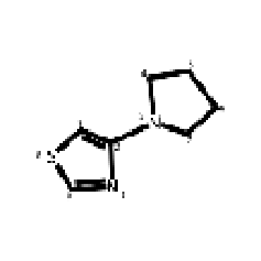 c1nc(N2CCCC2)cs1